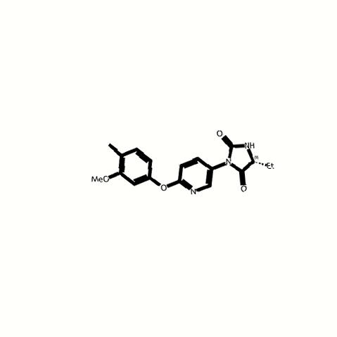 CC[C@H]1NC(=O)N(c2ccc(Oc3ccc(C)c(OC)c3)nc2)C1=O